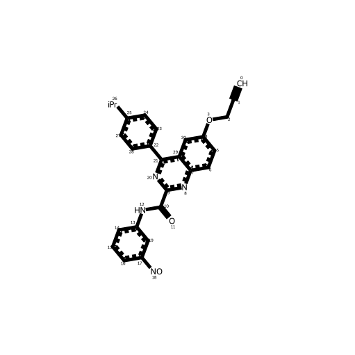 C#CCOc1ccc2nc(C(=O)Nc3cccc(N=O)c3)nc(-c3ccc(C(C)C)cc3)c2c1